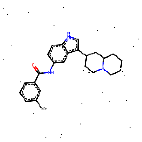 CCCc1cccc(C(=O)Nc2ccc3[nH]cc(C4CCN5CCCCC5C4)c3c2)c1